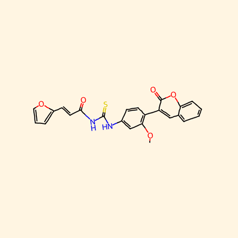 COc1cc(NC(=S)NC(=O)/C=C/c2ccco2)ccc1-c1cc2ccccc2oc1=O